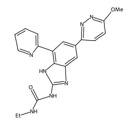 CCNC(=O)Nc1nc2cc(-c3ccc(OC)nn3)cc(-c3ccccn3)c2[nH]1